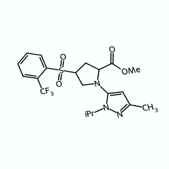 COC(=O)C1CC(S(=O)(=O)c2ccccc2C(F)(F)F)CN1c1cc(C)nn1C(C)C